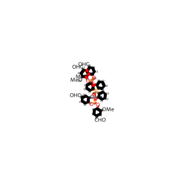 COc1cc(C=O)ccc1OP(Oc1ccc(C=O)cc1OC)Oc1ccccc1P(=O)(c1ccccc1)c1ccccc1OP(Oc1ccc(C=O)cc1OC)Oc1ccc(C=O)cc1OC